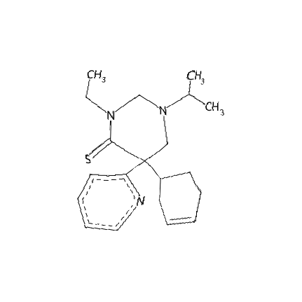 CCN1CN(C(C)C)CC(c2ccccn2)(C2CC=CCC2)C1=S